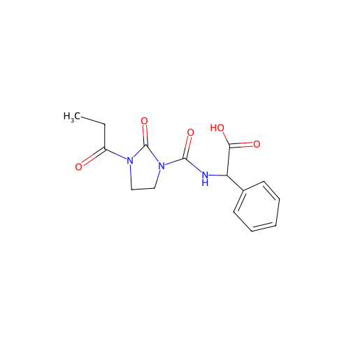 CCC(=O)N1CCN(C(=O)NC(C(=O)O)c2ccccc2)C1=O